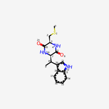 CSC[C@H]1NC(=O)[C@@H](C(C)c2c[nH]c3ccccc23)NC1=O